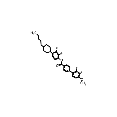 CCCCCC1CCC(c2ccc(OC(=O)c3ccc(-c4ccc(OC)c(F)c4F)cc3)c(F)c2F)CC1